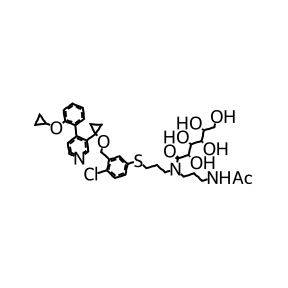 CC(=O)NCCCN(CCCSc1ccc(Cl)c(COC2(c3cnccc3-c3ccccc3OC3CC3)CC2)c1)C(=O)[C@@H](O)[C@@H](O)[C@H](O)[C@@H](O)CO